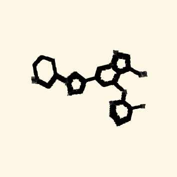 N#Cc1cnn2cc(-c3cnn(C4CCCNC4)c3)cc(Sc3ncccc3Cl)c12